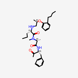 CCCCc1ccccc1O[C@H](C)CN[C@@H](CCC)C(=O)N(C)[C@H](C)C(=O)N[C@H](Cc1ccccc1)C(C)=O